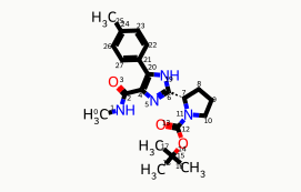 CNC(=O)c1nc([C@@H]2CCCN2C(=O)OC(C)(C)C)[nH]c1-c1ccc(C)cc1